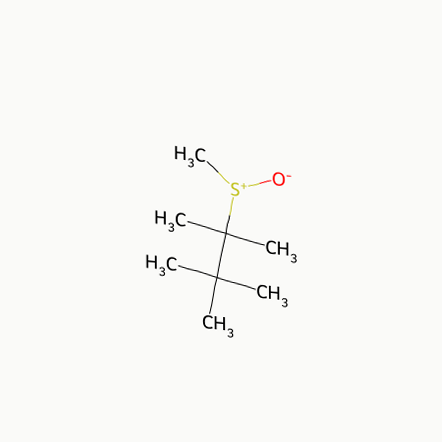 C[S+]([O-])C(C)(C)C(C)(C)C